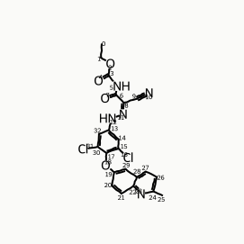 CCOC(=O)NC(=O)C(C#N)=NNc1cc(Cl)c(Oc2ccc3nc(C)ccc3c2)c(Cl)c1